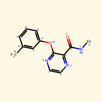 CCNC(=O)c1nccnc1Oc1cccc(C(F)(F)F)c1